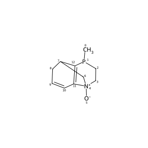 CP1CC[N+]2([O-])CC3CC=CC2=C31